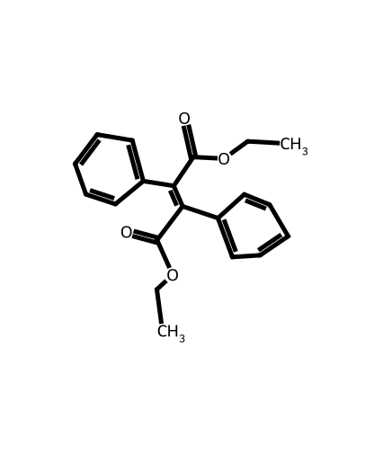 CCOC(=O)C(=C(C(=O)OCC)c1ccccc1)c1ccccc1